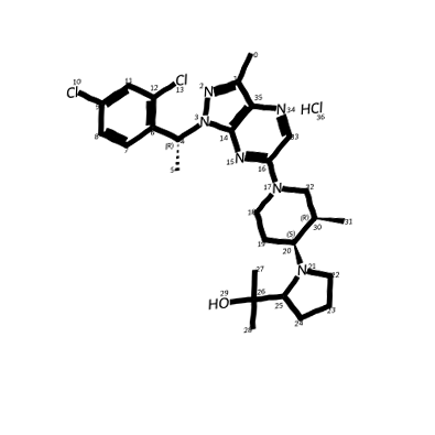 Cc1nn([C@H](C)c2ccc(Cl)cc2Cl)c2nc(N3CC[C@H](N4CCCC4C(C)(C)O)[C@H](C)C3)cnc12.Cl